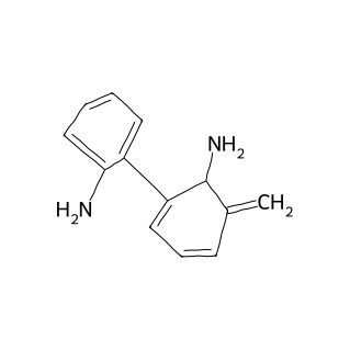 C=C1C=CC=C(c2ccccc2N)C1N